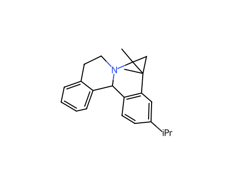 CC(C)c1ccc2c(c1)C1(C)CC1(C)N1CCc3ccccc3C21